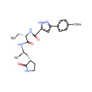 COc1ccc(-c2cc(C(=O)N[C@@H](CC(C)(C)C)C(=O)N[C@H](C#N)C[C@@H]3CCNC3=O)[nH]n2)cc1